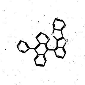 c1ccc(-c2c3ccccc3c(-c3cccc4oc5c6ccccc6sc5c34)c3ccccc23)cc1